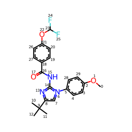 COc1ccc(-n2cc(C(C)(C)C)nc2NC(=O)c2ccc(OC(F)F)cc2)cc1